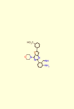 N=Cc1c(N)cccc1-c1nc(N2CCOCC2)c2sc(-c3cccc(C(=O)O)c3)cc2n1